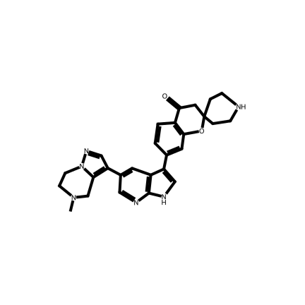 CN1CCn2ncc(-c3cnc4[nH]cc(-c5ccc6c(c5)OC5(CCNCC5)CC6=O)c4c3)c2C1